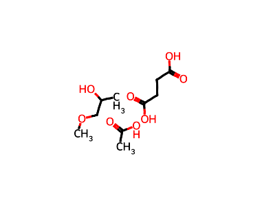 CC(=O)O.COCC(C)O.O=C(O)CCC(=O)O